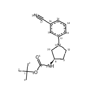 CC(C)(C)OC(=O)N[C@@H]1CCN(c2cccc(C#N)c2)C1